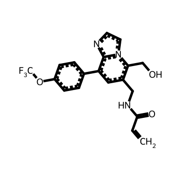 C=CC(=O)NCc1cc(-c2ccc(OC(F)(F)F)cc2)c2nccn2c1CO